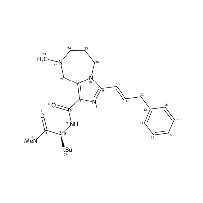 CNC(=O)[C@@H](NC(=O)c1nc(/C=C/Cc2ccccc2)n2c1CN(C)CCC2)C(C)(C)C